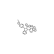 CCOc1ccc(C2c3ccccc3C(c3ccc4c(c3)OCO4)C2C(=O)O)cc1